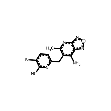 Cc1nc2nonc2c(N)c1Cc1ccc(Br)c(C#N)n1